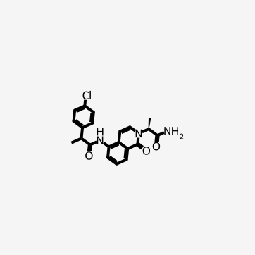 CC(C(=O)Nc1cccc2c(=O)n([C@@H](C)C(N)=O)ccc12)c1ccc(Cl)cc1